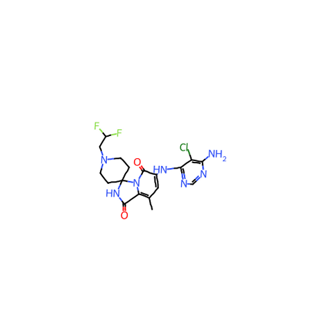 Cc1cc(Nc2ncnc(N)c2Cl)c(=O)n2c1C(=O)NC21CCN(CC(F)F)CC1